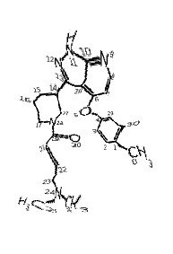 Cc1ccc(Oc2ccnc3[nH]nc(C4CCCN(C(=O)/C=C/CN(C)C)C4)c23)cc1